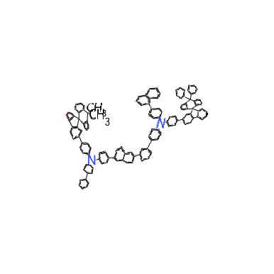 CC1(C)c2ccccc2C2(c3ccccc3-c3ccc(-c4ccc(N(c5ccc(-c6ccccc6)cc5)c5ccc(-c6ccc7cc(-c8cccc(-c9ccc(N(c%10ccc(-c%11ccc%12c(c%11)C%11(c%13ccccc%13-%12)c%12ccccc%12C(c%12ccccc%12)(c%12ccccc%12)c%12ccccc%12%11)cc%10)c%10ccc(-c%11cccc%12ccccc%11%12)cc%10)cc9)c8)ccc7c6)cc5)cc4)cc32)c2ccccc21